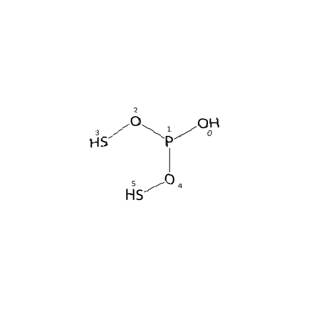 OP(OS)OS